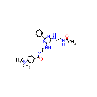 CC(=O)NCCNc1cc(NCCNC(=O)c2ccc(N(C)C)cc2)nc(-c2ccccc2)n1